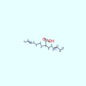 C/C=C/CCCCC(CC/C=C/CC)C(=O)O